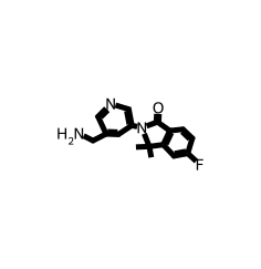 CC1(C)c2cc(F)ccc2C(=O)N1c1cncc(CN)c1